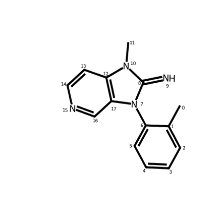 Cc1ccccc1-n1c(=N)n(C)c2ccncc21